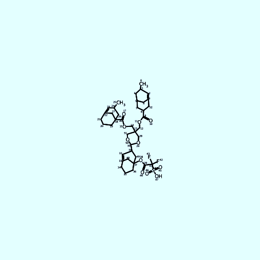 CC1C=C2CC(C1)CC(C(=O)OCC1(COC(=O)C34CCCC(=CC(C)C3)C4)COC(C3C=C4CCCC(OC(=O)C(F)(F)S(=O)(=O)O)(C4)C3)OC1)C2